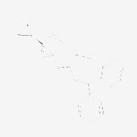 CC1(C)C[C@@H]1c1nnc(NC2N=C(c3ccccc3)c3ccccc3NC2=O)o1